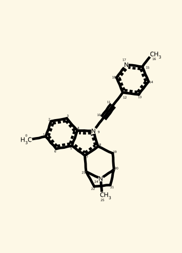 Cc1ccc2c(c1)c1c(n2C#Cc2ccc(C)nc2)CC2CCC1N2C